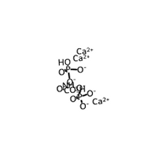 N.O=C([O-])O.O=P([O-])([O-])O.O=P([O-])([O-])[O-].[Ca+2].[Ca+2].[Ca+2]